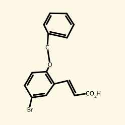 O=C(O)C=Cc1cc(Br)ccc1OCc1ccccc1